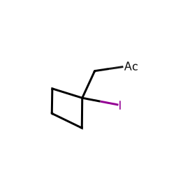 CC(=O)CC1(I)CCC1